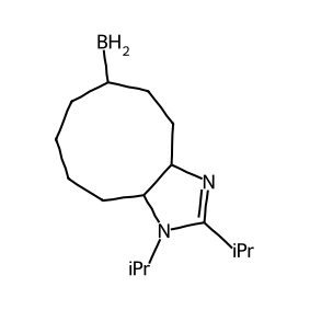 BC1CCCCC2C(CC1)N=C(C(C)C)N2C(C)C